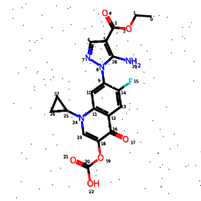 CCOC(=O)c1cnn(-c2cc3c(cc2F)c(=O)c(OC(=O)O)cn3C2CC2)c1N